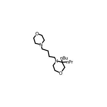 CCCCC1(CCC)COCCN1CCCCN1CCOCC1